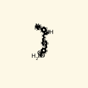 NS(=O)(=O)c1ccc(CN2CCN(CCCc3c[nH]c4ccc(-n5cnnc5)cc34)CC2)cc1